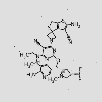 CCN(c1nc(OC[C@@H]2CC(=C(F)F)CN2C)nc(N2CC3(C2)SCc2sc(N)c(C#N)c23)c1C#N)[C@H](C)c1cccnc1N